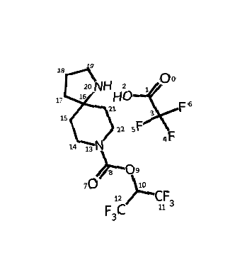 O=C(O)C(F)(F)F.O=C(OC(C(F)(F)F)C(F)(F)F)N1CCC2(CCCN2)CC1